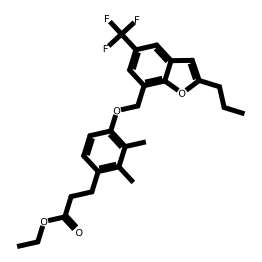 CCCc1cc2cc(C(F)(F)F)cc(COc3ccc(CCC(=O)OCC)c(C)c3C)c2o1